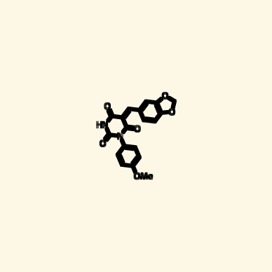 COc1ccc(N2C(=O)NC(=O)/C(=C/c3ccc4c(c3)OCO4)C2=O)cc1